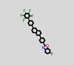 Fc1ccc2nc(-c3ccc(-c4ccc5cc(-c6ccc(-c7c(F)c(F)c(F)c(F)c7F)cc6)ccc5c4)cc3)oc2c1